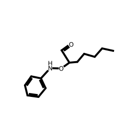 CCCCCC(C=O)ONc1ccccc1